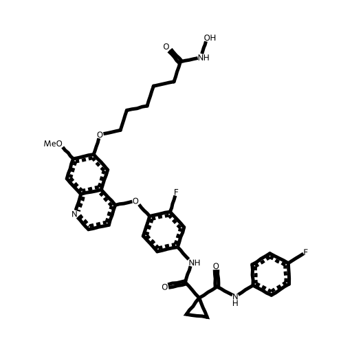 COc1cc2nccc(Oc3ccc(NC(=O)C4(C(=O)Nc5ccc(F)cc5)CC4)cc3F)c2cc1OCCCCCC(=O)NO